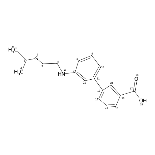 CC(C)SCCNc1cccc(-c2cccc(C(=O)O)c2)c1